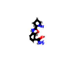 NC(=O)c1cccc2nc(C3CCCN3)oc12